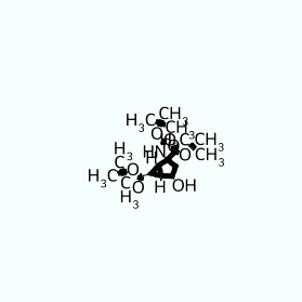 CC(C)(C)OC(=O)N[C@@]1(C(=O)OC(C)(C)C)C[C@H](O)[C@H]2[C@H](C(=O)OC(C)(C)C)[C@H]21